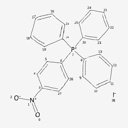 O=[N+]([O-])c1ccc([P+](c2ccccc2)(c2ccccc2)c2ccccc2)cc1.[I-]